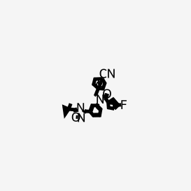 CC1(c2nc(-c3cccc(N(CC45CCC(C#N)(CC4)CC5)C(=O)C45CC(F)C(C4)C5)c3)no2)CC1